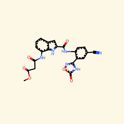 COC(=O)CC(=O)Nc1cccc2cc(C(=O)Nc3ccc(C#N)cc3-c3noc(=O)[nH]3)[nH]c12